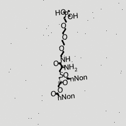 C=P(O)(O)CCOCCOCCOCCNC(=O)[C@@H](N)CSC[C@@H](COC(=O)CCCCCCCCC)OC(=O)CCCCCCCCC